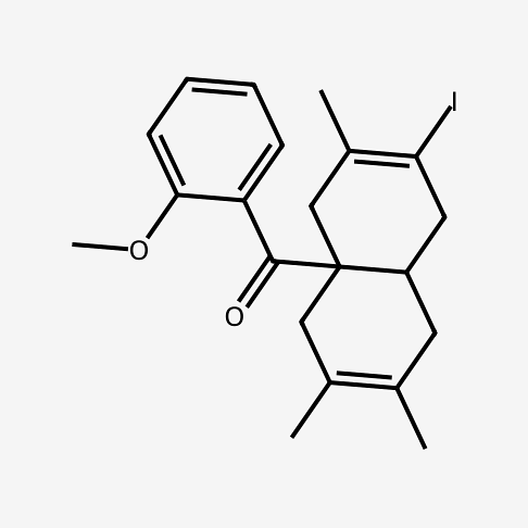 COc1ccccc1C(=O)C12CC(C)=C(C)CC1CC(I)=C(C)C2